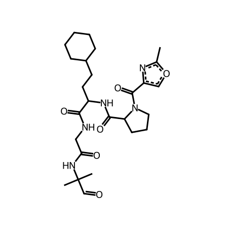 Cc1nc(C(=O)N2CCCC2C(=O)NC(CCC2CCCCC2)C(=O)NCC(=O)NC(C)(C)C=O)co1